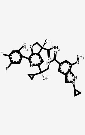 COc1cc(C(=O)NC[C@](O)(c2cc3c(c(-c4cc(F)c(F)cc4C)n2)OC[C@]3(C)C(N)=O)C2CC2)cc2cn(C3CC3)nc12